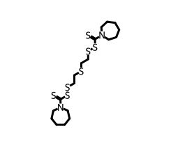 S=C(SSCCSCCSSC(=S)N1CCCCCC1)N1CCCCCC1